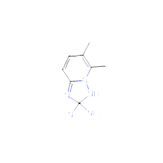 CC1=C(C)N2NC(N)(N)N=C2C=C1